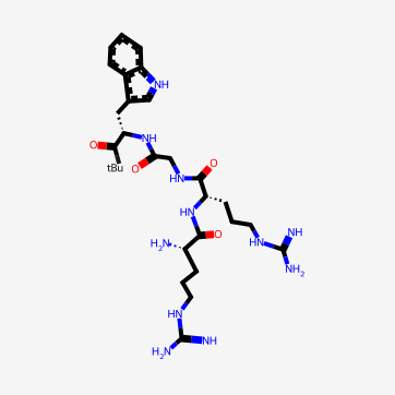 CC(C)(C)C(=O)[C@H](Cc1c[nH]c2ccccc12)NC(=O)CNC(=O)[C@H](CCCNC(=N)N)NC(=O)[C@@H](N)CCCNC(=N)N